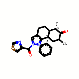 C[C@@H]1C(=O)C(C#N)C[C@@]2(c3ccccc3)c3nn(C(=O)c4cscn4)cc3CCC12